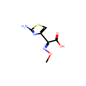 CO/N=C(\C(=O)O)c1csc(N)n1